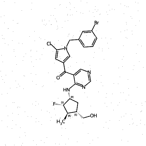 C[C@@H]1[C@@H](CO)C[C@@H](Nc2ncncc2C(=O)c2cc(Cl)n(Cc3cccc(Br)c3)c2)[C@H]1F